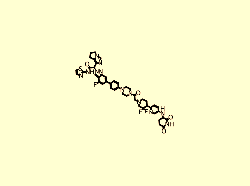 O=C1CCC(Nc2ccc(C3CCN(CC(=O)N4CCN(c5ccc(-c6cc(F)c7cn(C(C(=O)Nc8nccs8)c8ncn9c8CCC9)nc7c6)cc5)CC4)CC3(F)F)nc2)C(=O)N1